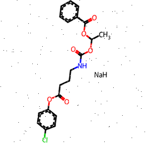 CC(OC(=O)NCCCC(=O)Oc1ccc(Cl)cc1)OC(=O)c1ccccc1.[NaH]